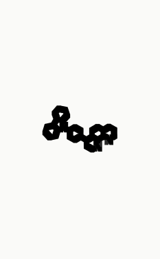 c1cnc2c(c1)ccc1c(-c3ccc(-n4c5ccccc5c5ccccc54)cc3)ccnc12